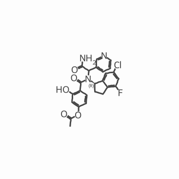 CC(=O)Oc1ccc(C(=O)N(C(C(N)=O)c2cccnc2)[C@@H]2CCc3c(F)cc(Cl)cc32)c(O)c1